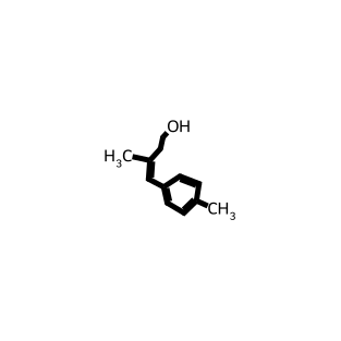 CC(=Cc1ccc(C)cc1)CCO